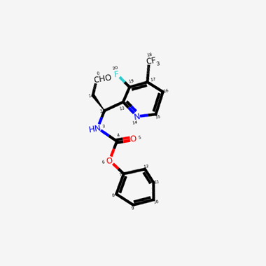 O=CC[C@H](NC(=O)Oc1ccccc1)c1nccc(C(F)(F)F)c1F